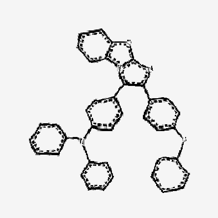 c1ccc(Oc2ccc(-c3nc4oc5ccccc5n4c3-c3ccc(N(c4ccccc4)c4ccccc4)cc3)cc2)cc1